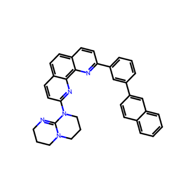 c1cc(-c2ccc3ccccc3c2)cc(-c2ccc3ccc4ccc(N5CCCN6CCCN=C65)nc4c3n2)c1